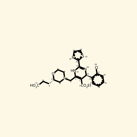 CCOC(=O)C1=C(CN2CCO[C@@H](CCC(=O)O)C2)NC(c2nccs2)=N[C@H]1c1ccccc1Cl